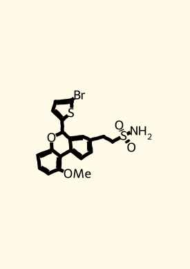 COc1cccc2c1-c1ccc(CCS(N)(=O)=O)cc1C(c1ccc(Br)s1)O2